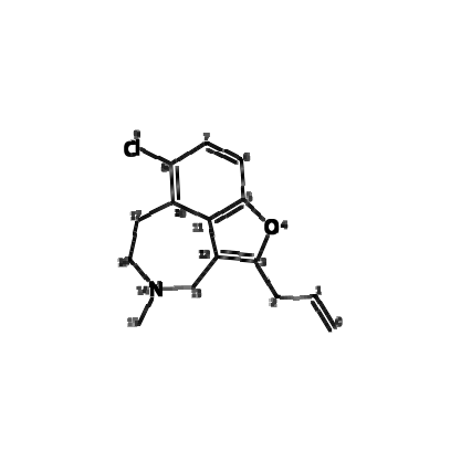 C=CCc1oc2ccc(Cl)c3c2c1CN(C)CC3